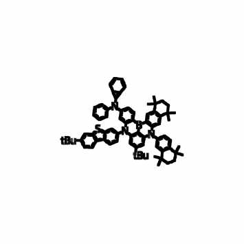 CC(C)(C)c1cc2c3c(c1)N(c1ccc4c(c1)C(C)(C)CCC4(C)C)c1cc4c(cc1B3c1ccc(N(C3=C5C=CC=CC53)c3ccccc3)cc1N2c1ccc2c(c1)sc1cc(C(C)(C)C)ccc12)C(C)(C)CCC4(C)C